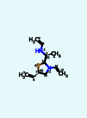 C=CN[C@H](C)C1S[C@@H](C=C)CN1C=C